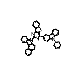 c1ccc(-n2c3ccccc3c3cc(-c4nc(-n5c6ccccc6c6c7ccccc7ccc65)nc5c4sc4ccccc45)ccc32)cc1